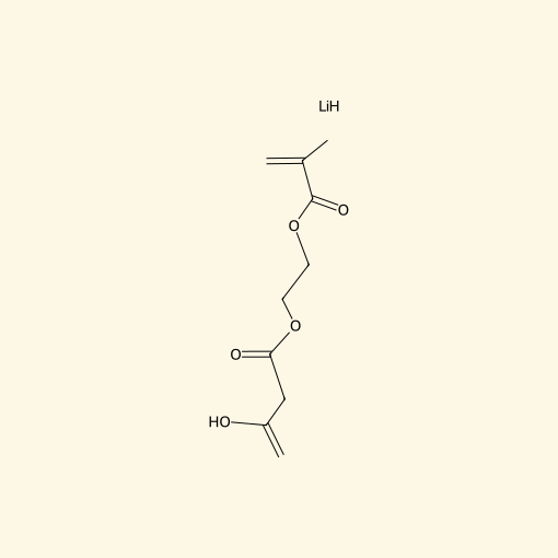 C=C(O)CC(=O)OCCOC(=O)C(=C)C.[LiH]